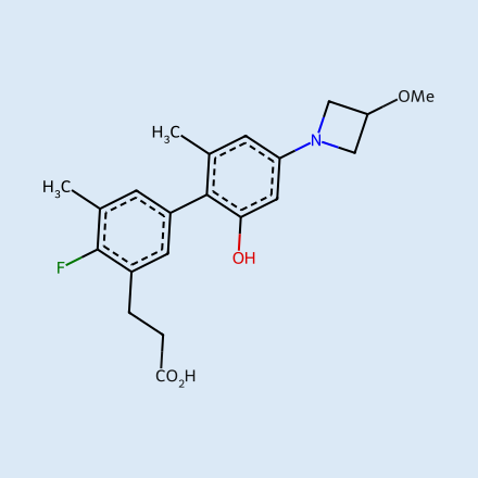 COC1CN(c2cc(C)c(-c3cc(C)c(F)c(CCC(=O)O)c3)c(O)c2)C1